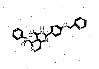 O=c1[nH]c(-c2ccc(OCc3ccccc3)cc2)nc2c1C(S(=O)(=O)c1ccccc1)CCC2